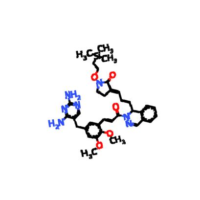 COc1cc(Cc2cnc(N)nc2N)cc(C=CC(=O)N2N=Cc3ccccc3C2CCC=C2CCN(OCC[Si](C)(C)C)C2=O)c1OC